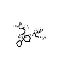 CCN(CC)CC(C)OC(=O)[C@@H]1CCCC[C@@]1(O)C1CCCCC1.O=C(O)CC(O)(CC(=O)O)C(=O)O